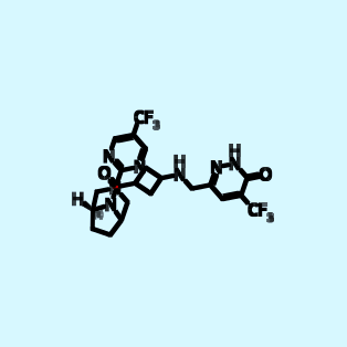 O=C(C1CC(NCc2cc(C(F)(F)F)c(=O)[nH]n2)C1)N1C2CC[C@@H]1CN(c1ncc(C(F)(F)F)cn1)C2